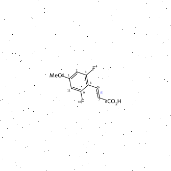 COc1cc(F)c(/C=C/C(=O)O)c(F)c1